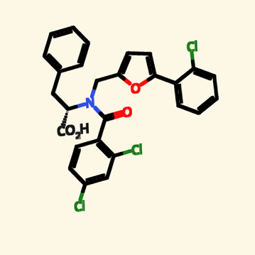 O=C(O)[C@H](Cc1ccccc1)N(Cc1ccc(-c2ccccc2Cl)o1)C(=O)c1ccc(Cl)cc1Cl